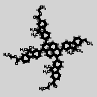 CCOC(=O)c1ccc2c(c1)C(C)(C)c1cc(-c3cc(-c4ccc5c(c4)C(C)(C)c4cc(CC)ccc4-5)c4ccc5c(-c6ccc7c(c6)C(C)(C)c6cc(C(=O)OCC)ccc6-7)cc(-c6ccc7c(c6)C(C)(C)c6cc(C(=O)OCC)ccc6-7)c6ccc3c4c56)ccc1-2